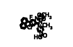 CC1CN(C(=O)O)CCN1c1nc(S(C)(=O)=O)nc2c(F)c(-c3cccc4cccc(Cl)c34)ncc12